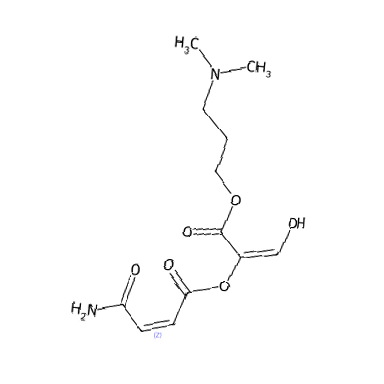 CN(C)CCCOC(=O)C(=CO)OC(=O)/C=C\C(N)=O